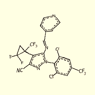 N#Cc1nn(-c2c(Cl)cc(C(F)(F)F)cc2Cl)c(N=Cc2ccncc2)c1C1(C(F)(F)F)CC1(F)F